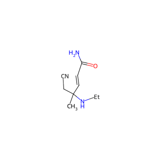 CCNC(C)(C=CC(N)=O)CC#N